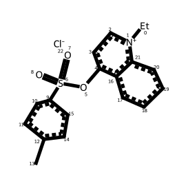 CC[n+]1ccc(OS(=O)(=O)c2ccc(C)cc2)c2ccccc21.[Cl-]